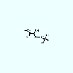 CCC(S)C(=O)OC.F[B-](F)(F)F